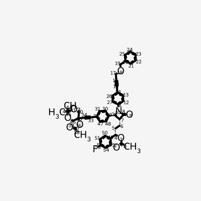 CC(=O)O[C@@H](CC[C@H]1C(=O)N(c2ccc(C#CCOCc3ccccc3)cc2)[C@@H]1c1ccc(C#CC2(OC(C)=O)COC(C)(C)OC2)cc1)c1ccc(F)cc1